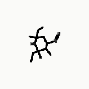 CCC1(C)CC(N=O)C(C)C(C)(CC)N1